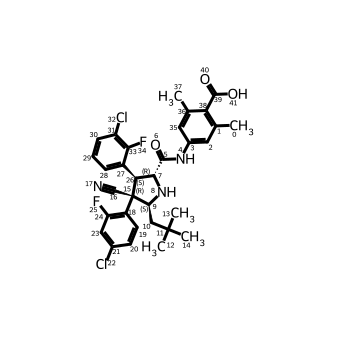 Cc1cc(NC(=O)[C@@H]2N[C@@H](CC(C)(C)C)[C@](C#N)(c3ccc(Cl)cc3F)[C@H]2c2cccc(Cl)c2F)cc(C)c1C(=O)O